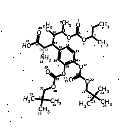 CCC(C)OC(=O)OC(C)C(C)C(c1ccc(OC(=O)OCC(C)(C)C)c(OC(=O)OCC(C)(C)C)c1)[C@H](N)C(=O)O